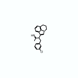 CC(=N)C(Cc1cccc(Cl)c1)c1cn2c3c(cccc13)CCC2